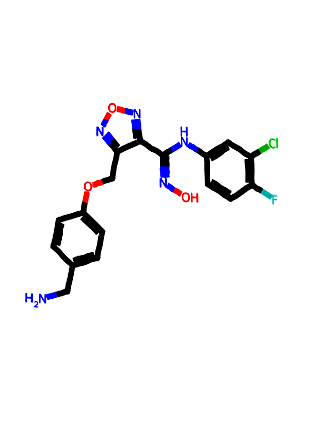 NCc1ccc(OCc2nonc2C(=NO)Nc2ccc(F)c(Cl)c2)cc1